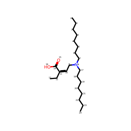 CCCCCCCCN(CC=C(CC)C(=O)O)CCCCCCCC